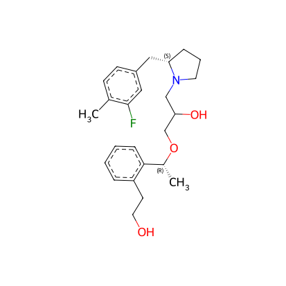 Cc1ccc(C[C@@H]2CCCN2CC(O)CO[C@H](C)c2ccccc2CCO)cc1F